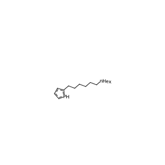 CCCCCCCCCCCCc1ccc[pH]1